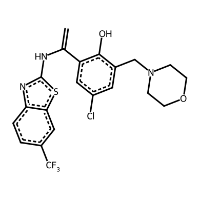 C=C(Nc1nc2ccc(C(F)(F)F)cc2s1)c1cc(Cl)cc(CN2CCOCC2)c1O